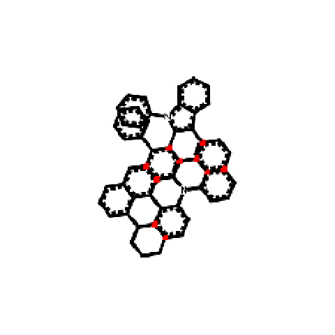 CC1Cc2c(c3ccccc3n2-c2ccccc2)C=C1c1ccccc1N(c1ccc(-c2ccccc2)cc1-c1ccccc1)c1ccccc1-c1cccc2cccc(C3CCCCC3)c12